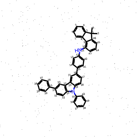 CC1(C)c2ccccc2-c2c(Nc3ccc(-c4ccc5c(c4)c4cc(-c6ccccc6)ccc4n5-c4ccccc4)cc3)cccc21